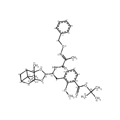 COc1c(C[C@H](NC(=O)C(C)=NOCc2ccccc2)B2OC3CC4CC(C4(C)C)C3(C)O2)cccc1C(=O)OC(C)(C)C